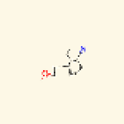 CCc1c(C#N)cccc1[CH]COC